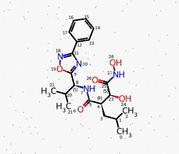 CC(C)C[C@@H](C(=O)N[C@H](c1nc(-c2ccccc2)no1)C(C)C)[C@H](O)C(=O)NO